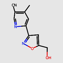 Cc1cc(-c2cc(CO)on2)ncc1C#N